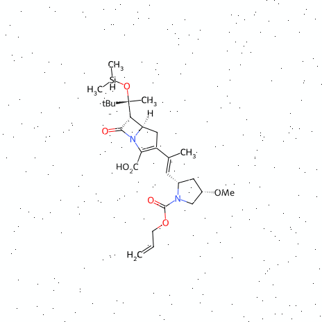 C=CCOC(=O)N1C[C@@H](OC)C[C@H]1/C=C(\C)C1=C(C(=O)O)N2C(=O)[C@H]([C@@](C)(O[SiH](C)C)C(C)(C)C)[C@H]2C1